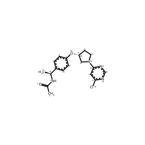 CC(=O)N[C@@H](C)c1ccc(O[C@@H]2CCN(c3cc(Cl)ncn3)C2)cc1